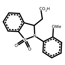 COc1ccccc1N1C(CC(=O)O)c2ccccc2S1(=O)=O